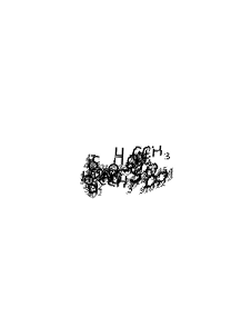 CN(C)C(C[C@H](Oc1cccc2ccccc12)c1cccs1)OC(=O)/C=C/C(=O)OC(C[C@H](Oc1cccc2ccccc12)c1cccs1)N(C)C